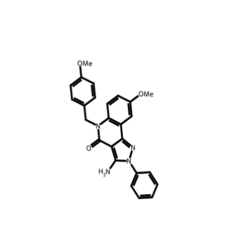 COc1ccc(Cn2c(=O)c3c(N)n(-c4ccccc4)nc3c3cc(OC)ccc32)cc1